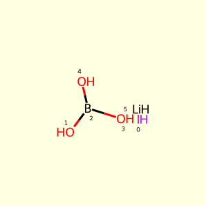 I.OB(O)O.[LiH]